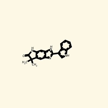 CC1(C)C(=O)Nc2cc3[nH]c(-c4c[nH]c5ccccc45)nc3cc21